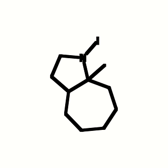 CC12CCCCCC1CCN2I